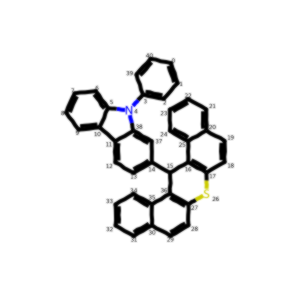 c1ccc(-n2c3ccccc3c3ccc(C4c5c(ccc6ccccc56)Sc5ccc6ccccc6c54)cc32)cc1